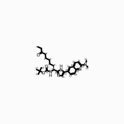 CCC(=O)CCCCC[C@H](NC(=O)OC(C)(C)C)c1ncc(-c2ccc3nc(N(C)C)ccc3c2)[nH]1